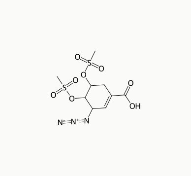 CS(=O)(=O)OC1CC(C(=O)O)=CC(N=[N+]=[N-])C1OS(C)(=O)=O